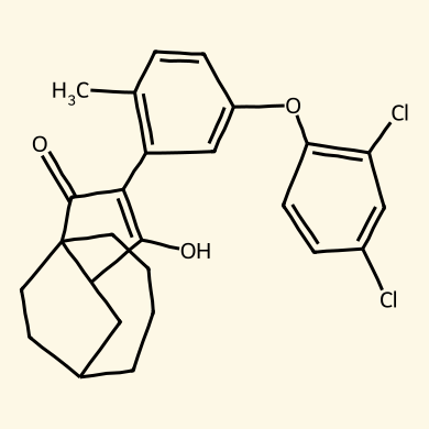 Cc1ccc(Oc2ccc(Cl)cc2Cl)cc1C1=C(O)C2CC3CCCCC2(CC3)C1=O